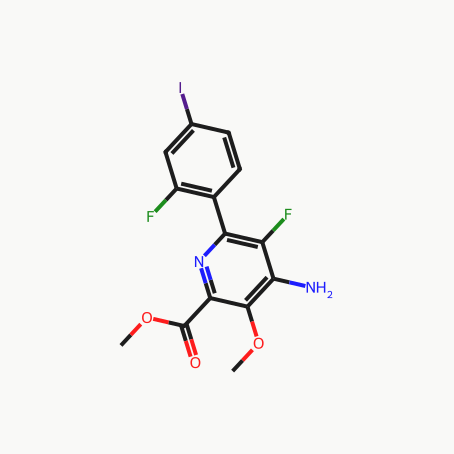 COC(=O)c1nc(-c2ccc(I)cc2F)c(F)c(N)c1OC